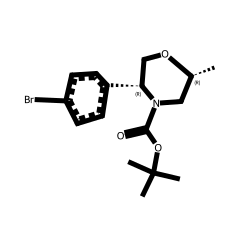 C[C@@H]1CN(C(=O)OC(C)(C)C)[C@H](c2ccc(Br)cc2)CO1